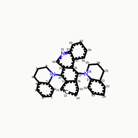 c1ccc2c(c1)CCCN2c1c2ccccc2c(N2CCCc3ccccc32)c2c1cnc1ccccc12